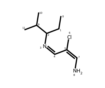 CCC(/N=C\C(Cl)=C/N)C(C)C